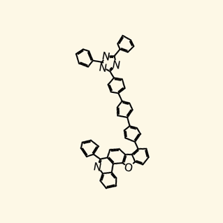 c1ccc(-c2nc(-c3ccccc3)nc(-c3ccc(-c4ccc(-c5ccc(-c6cccc7oc8c(ccc9c(-c%10ccccc%10)nc%10ccccc%10c98)c67)cc5)cc4)cc3)n2)cc1